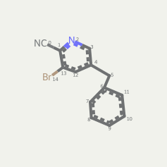 N#Cc1ncc(Cc2ccccc2)cc1Br